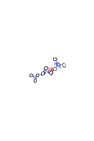 C1=CC(c2cc(-c3ccccc3)nc(C3=Cc4oc5c(-n6c7ccccc7c7cc(-c8ccc9c(c8)c8ccccc8n9-c8ccccc8)ccc76)cccc5c4CC3)n2)=CCC1